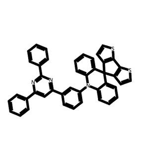 c1ccc(-c2cc(-c3cccc(N4c5ccccc5C5(c6ccccc64)c4ccsc4-c4sccc45)c3)nc(-c3ccccc3)n2)cc1